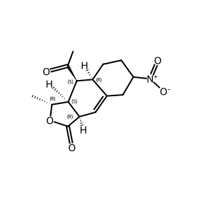 CC(=O)[C@@H]1[C@@H]2[C@@H](C)OC(=O)[C@@H]2C=C2CC([N+](=O)[O-])CC[C@@H]21